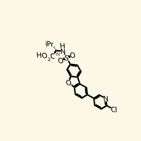 CC(C)[C@H](NS(=O)(=O)c1ccc2c(c1)oc1ccc(-c3ccc(Cl)nc3)cc12)C(=O)O